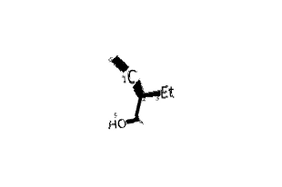 C=C=C(CC)CO